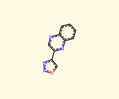 c1ccc2nc(-c3conn3)cnc2c1